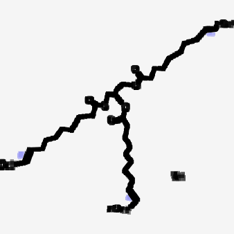 CCCCCCCC/C=C/CCCCCCCC(=O)OCC(COC(=O)CCCCCCC/C=C/CCCCCCCC)OC(=O)CCCCCCC/C=C/CCCCCCCC.[KH]